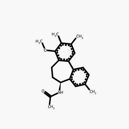 COc1c(C)c(C)cc2c1CC[C@H](NC(C)=O)c1cc(C)ccc1-2